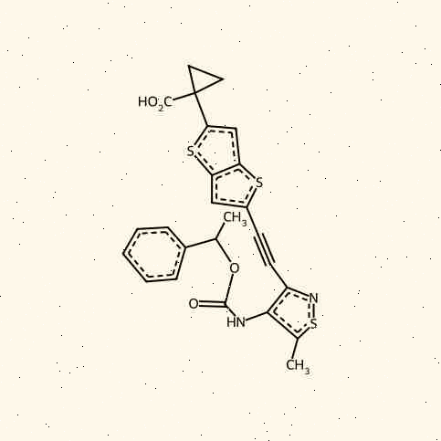 Cc1snc(C#Cc2cc3sc(C4(C(=O)O)CC4)cc3s2)c1NC(=O)OC(C)c1ccccc1